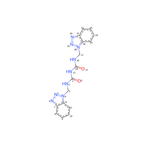 O=C(NCn1nnc2ccccc21)NC(=O)NCn1nnc2ccccc21